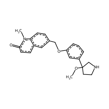 COC1(c2cccc(OCc3ccc4c(ccc(=O)n4C)c3)c2)CCNC1